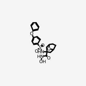 O=C(NO)C1(NS(=O)(=O)c2ccc(Oc3ccccc3)cc2)CC2CCC(C1)O2